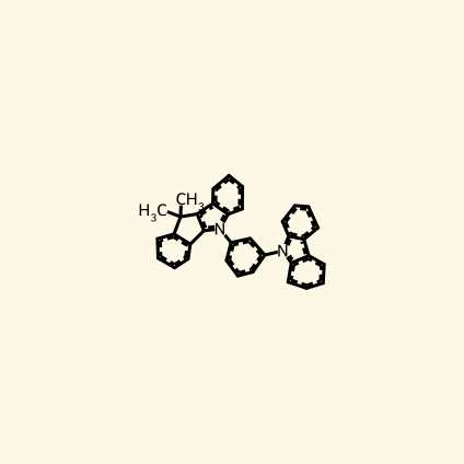 CC1(C)c2ccccc2-c2c1c1ccccc1n2-c1cccc(-n2c3ccccc3c3ccccc32)c1